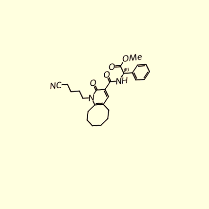 COC(=O)[C@H](NC(=O)c1cc2c(n(CCCCC#N)c1=O)CCCCCC2)c1ccccc1